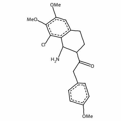 COc1ccc(CC(=O)C2CCc3cc(OC)c(OC)c(Cl)c3C2N)cc1